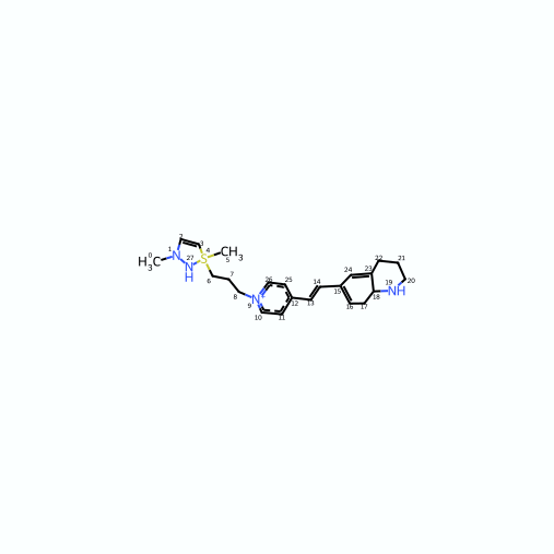 CN1C=CS(C)(CCC[n+]2ccc(/C=C/C3=CCC4NCCCC4=C3)cc2)N1